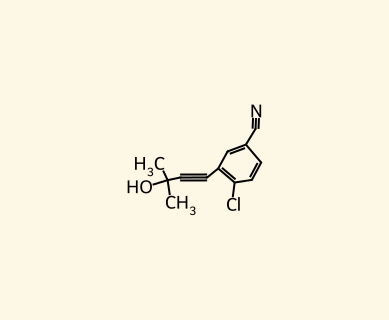 CC(C)(O)C#Cc1cc(C#N)ccc1Cl